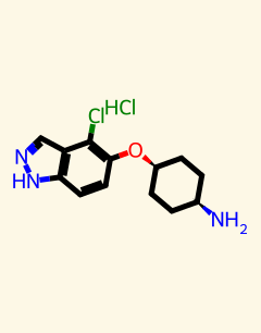 Cl.N[C@H]1CC[C@@H](Oc2ccc3[nH]ncc3c2Cl)CC1